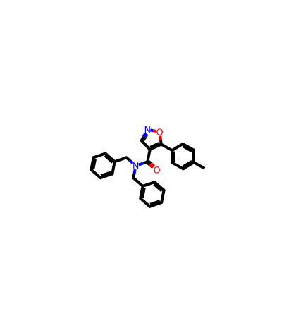 Cc1ccc(-c2oncc2C(=O)N(Cc2ccccc2)Cc2ccccc2)cc1